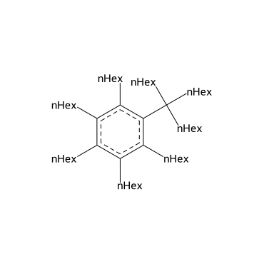 CCCCCCc1c(CCCCCC)c(CCCCCC)c(C(CCCCCC)(CCCCCC)CCCCCC)c(CCCCCC)c1CCCCCC